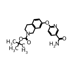 CC(C)(C)OC(=O)N1CCc2ccc(Oc3ccc(C(N)=O)cn3)cc2C1